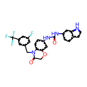 O=C(Nc1ccc2c(c1)OCC(=O)N2Cc1cc(F)cc(C(F)(F)F)c1)Nc1ccc2cc[nH]c2c1